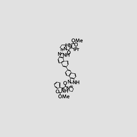 COC(=O)N[C@H](C(=O)N1CCC[C@H]1c1nc2ccc3cc(-c4ccc5c(ccc6[nH]c([C@@H]7CCCN7C(=O)[C@H](NC(=O)OC)c7ccccc7)nc65)c4)ccc3c2[nH]1)C(C)C